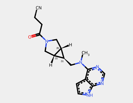 CN(C[C@H]1[C@@H]2CN(C(=O)CCC#N)C[C@@H]21)c1ncnc2[nH]ccc12